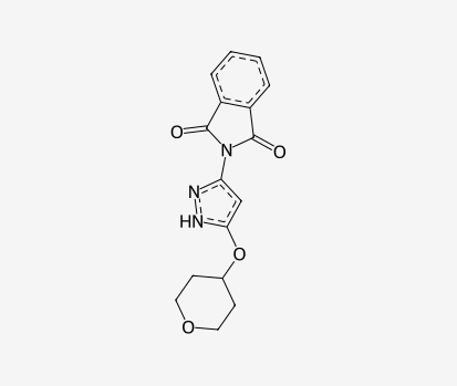 O=C1c2ccccc2C(=O)N1c1cc(OC2CCOCC2)[nH]n1